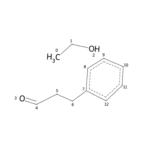 CCO.O=CCCc1ccccc1